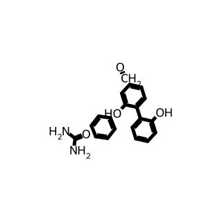 C=O.NC(N)=O.Oc1ccccc1-c1ccccc1O.c1ccccc1